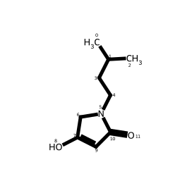 CC(C)CCN1CC(O)=CC1=O